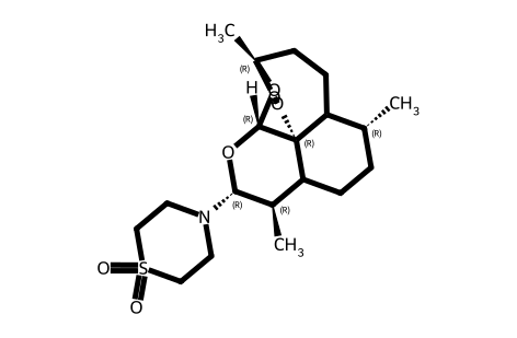 C[C@@H]1CCC2[C@@H](C)[C@H](N3CCS(=O)(=O)CC3)O[C@@H]3O[C@@]4(C)CCC1[C@@]23OO4